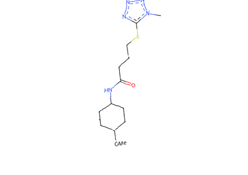 COC1CCC(NC(=O)CCCSc2nnnn2C)CC1